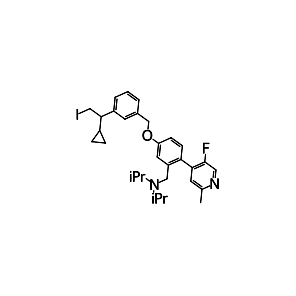 Cc1cc(-c2ccc(OCc3cccc(C(CI)C4CC4)c3)cc2CN(C(C)C)C(C)C)c(F)cn1